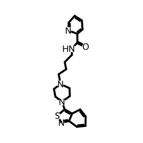 O=C(NCCCCN1CCN(c2snc3ccccc23)CC1)c1ccccn1